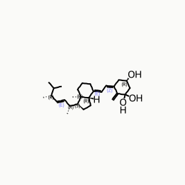 C=C1/C(=C\C=C2/CCC[C@@]3(C)[C@H]2CC[C@H]3[C@H](C)/C=C/[C@H](C)C(C)C)C[C@@H](O)CC1(O)O